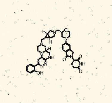 O=C1CCC(N2Cc3cc(N4CCO[C@H](CN5C[C@@H]6C(CN7CCN8c9cc(-c%10ccccc%10O)nnc9NC[C@H]8C7)[C@@H]6C5)C4)ccc3C2=O)C(=O)N1